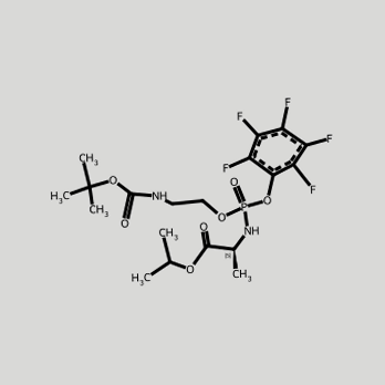 CC(C)OC(=O)[C@H](C)NP(=O)(OCCNC(=O)OC(C)(C)C)Oc1c(F)c(F)c(F)c(F)c1F